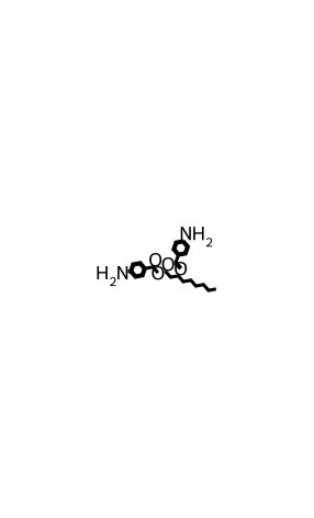 CCCCCCCCC(OC(=O)c1ccc(N)cc1)OC(=O)c1ccc(N)cc1